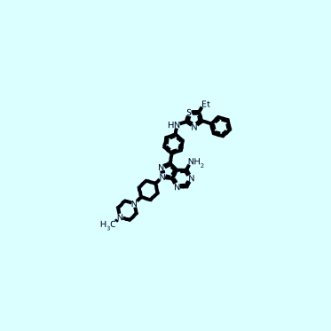 CCc1sc(Nc2ccc(-c3nn(C4CCC(N5CCN(C)CC5)CC4)c4ncnc(N)c34)cc2)nc1-c1ccccc1